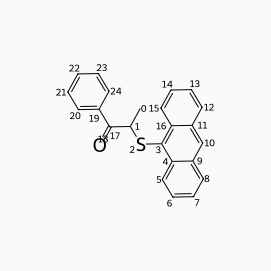 CC(Sc1c2ccccc2cc2ccccc12)C(=O)c1ccccc1